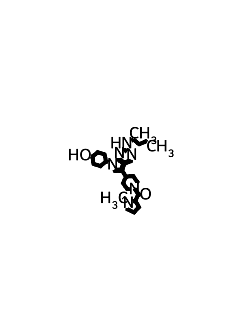 CCCC(C)Nc1ncc2c(C3CCN(C(=O)C4CCCN4C)CC3)cn(C3CCC(O)CC3)c2n1